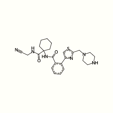 N#CCNC(=O)C1(NC(=O)c2ccccc2-c2csc(CN3CCNCC3)n2)CCCCC1